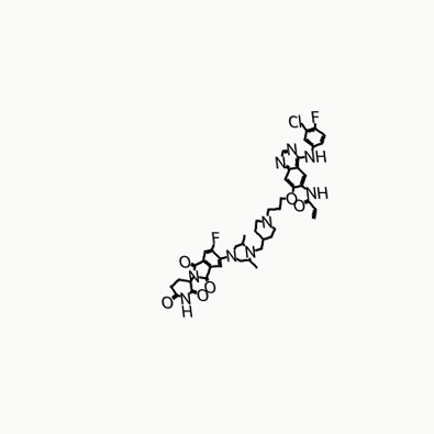 C=CC(=O)Nc1cc2c(Nc3ccc(F)c(Cl)c3)ncnc2cc1OCCCN1CCC(CN2C(C)CN(c3cc4c(cc3F)C(=O)N(C3CCC(=O)NC3=O)C4=O)CC2C)CC1